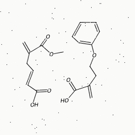 C=C(CC=CC(=O)O)C(=O)OC.C=C(CCOc1ccccc1)C(=O)O